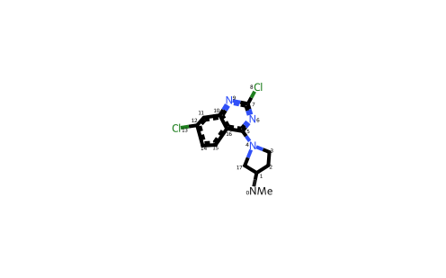 CNC1CCN(c2nc(Cl)nc3cc(Cl)ccc23)C1